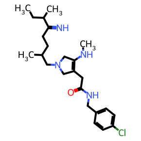 CCC(C)C(=N)CCC(C)CN1CC(CC(=O)NCc2ccc(Cl)cc2)=C(NC)C1